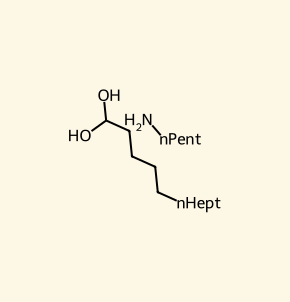 CCCCCCCCCCCC(O)O.CCCCCN